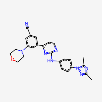 Cc1nc(C)n(-c2ccc(Nc3nccc(-c4cc(C#N)cc(N5CCOCC5)c4)n3)cc2)n1